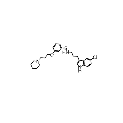 Clc1ccc2[nH]cc(CCCNSc3cccc(OCCCN4CCCCC4)c3)c2c1